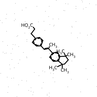 C/C(=C\c1ccc(CCC(=O)O)cc1)c1ccc2c(c1)C(C)(C)CCC2(C)C